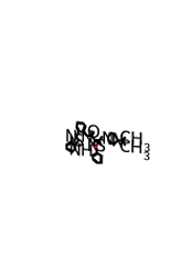 CC(C)N1CCN(Cc2sc(-c3ccccc3)nc2C(=O)Nc2ccccc2-c2nc3cccnc3s2)CC1